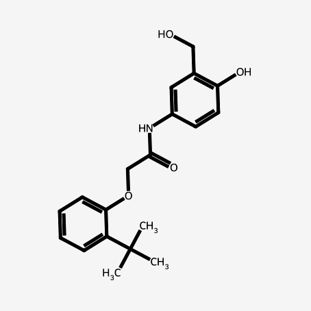 CC(C)(C)c1ccccc1OCC(=O)Nc1ccc(O)c(CO)c1